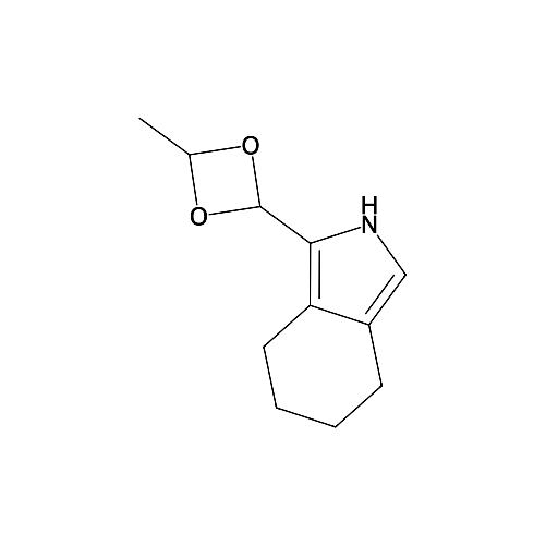 CC1OC(c2[nH]cc3c2CCCC3)O1